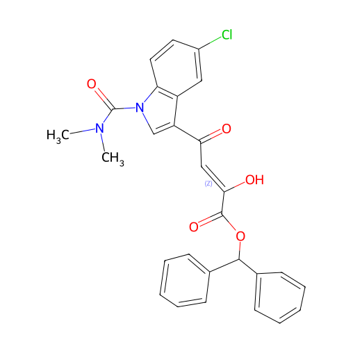 CN(C)C(=O)n1cc(C(=O)/C=C(\O)C(=O)OC(c2ccccc2)c2ccccc2)c2cc(Cl)ccc21